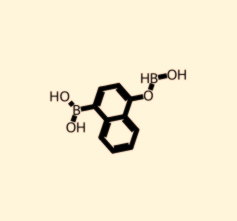 OBOc1ccc(B(O)O)c2ccccc12